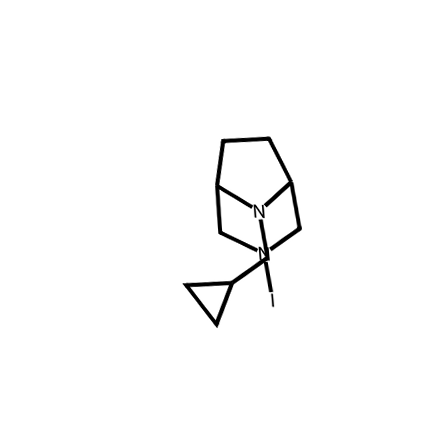 IN1CC2CCC(C1)N2CC1CC1